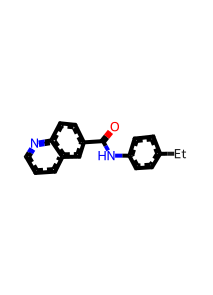 CCc1ccc(NC(=O)c2ccc3ncccc3c2)cc1